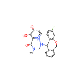 CC(C)N1CN(C2c3ccccc3COc3cc(F)ccc32)n2ccc(=O)c(O)c2C1=O